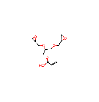 C=CC(=O)O.CC(COCC1CO1)OCC1CO1